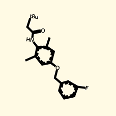 Cc1cc(OCc2cccc(F)c2)cc(C)c1NC(=O)CC(C)(C)C